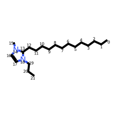 CCCCCCCCCCCCCC1N(C)C=CN1CCC